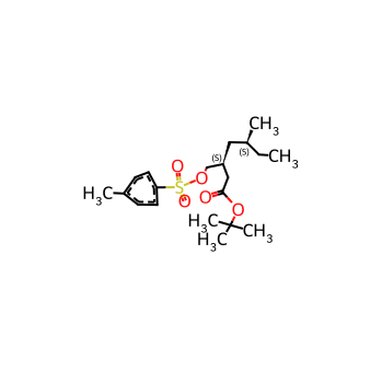 CC[C@H](C)C[C@H](COS(=O)(=O)c1ccc(C)cc1)CC(=O)OC(C)(C)C